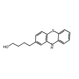 OCCCCc1ccc2c(c1)Nc1ccccc1S2